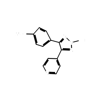 COc1ccc(-c2nn(C)nc2-c2ccncc2)cc1